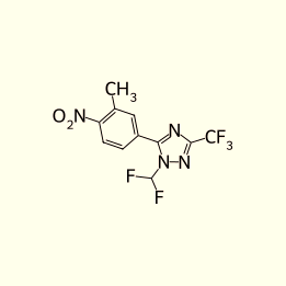 Cc1cc(-c2nc(C(F)(F)F)nn2C(F)F)ccc1[N+](=O)[O-]